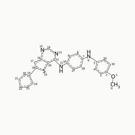 COc1ccc(Nc2ccc(Nc3ncnc4cc(-c5ccccc5)sc34)cc2)cc1